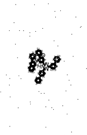 c1ccc(-c2ccc(C3N=C(c4cccc(-c5ccccc5)c4)N=C(c4cc(-n5c6ccccc6c6cc7ccccc7cc65)c5c(c4)oc4ccccc45)N3)cc2)cc1